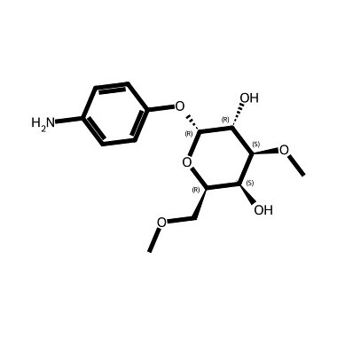 COC[C@H]1O[C@H](Oc2ccc(N)cc2)[C@H](O)[C@@H](OC)[C@H]1O